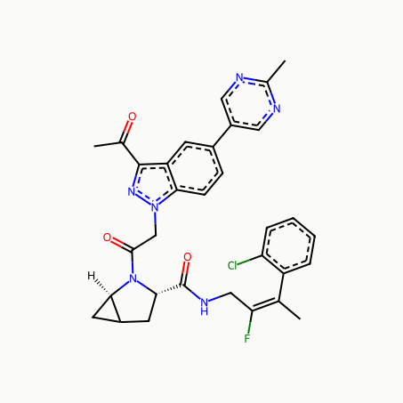 CC(=O)c1nn(CC(=O)N2[C@@H]3CC3C[C@H]2C(=O)NC/C(F)=C(/C)c2ccccc2Cl)c2ccc(-c3cnc(C)nc3)cc12